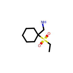 CCS(=O)(=O)C1(C[NH])CCCCC1